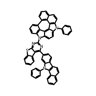 c1ccc(-n2c3ccc4cccc5c4c3c3c4c6c-5cccc6n(-c5nc(-c6ccc7c8ccc9ccccc9c8n(-c8ccccc8)c7c6)c6c(n5)sc5ccccc56)c4ccc32)cc1